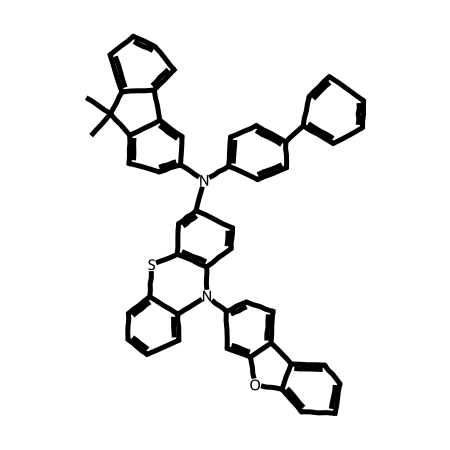 CC1(C)c2ccccc2-c2cc(N(c3ccc(-c4ccccc4)cc3)c3ccc4c(c3)Sc3ccccc3N4c3ccc4c(c3)oc3ccccc34)ccc21